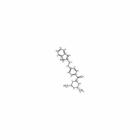 CC1CC(C)CN(C(=O)c2ccc(CSc3nc4ccccc4[nH]3)cc2)C1